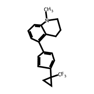 CN1CCCc2c(-c3ccc(C4(C(F)(F)F)CC4)cc3)cccc21